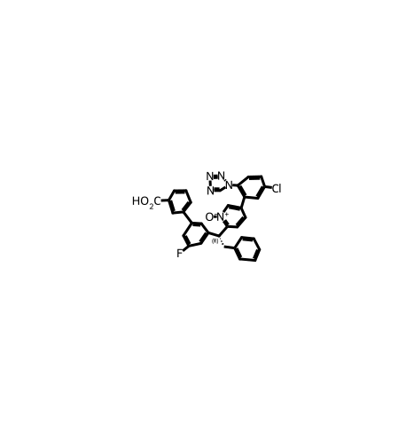 O=C(O)c1cccc(-c2cc(F)cc([C@@H](Cc3ccccc3)c3ccc(-c4cc(Cl)ccc4-n4cnnn4)c[n+]3[O-])c2)c1